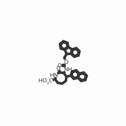 O=C(NC1C(=O)NC(C(=O)O)CCCC1c1ccc2ccccc2c1)OCC1c2ccccc2-c2ccccc21